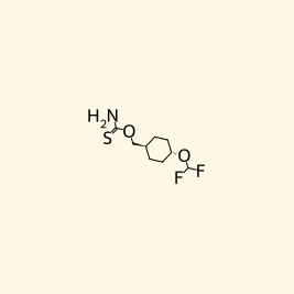 NC(=S)OC[C@H]1CC[C@H](OC(F)F)CC1